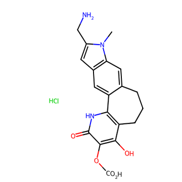 Cl.Cn1c(CN)cc2cc3c(cc21)CCCc1c-3[nH]c(=O)c(OC(=O)O)c1O